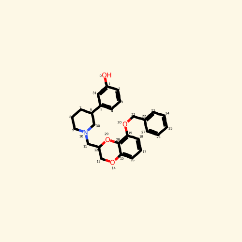 Oc1cccc(C2CCCN(CC3COc4cccc(OCc5ccccc5)c4O3)C2)c1